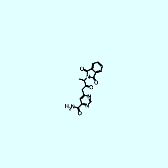 CC(C(=O)Cc1cc(C(N)=O)ncn1)N1C(=O)c2ccccc2C1=O